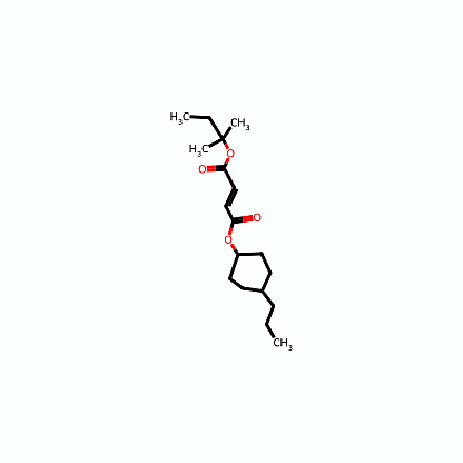 CCCC1CCC(OC(=O)/C=C/C(=O)OC(C)(C)CC)CC1